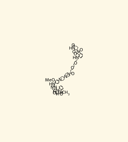 COc1cc(N2CCC(N3CCN(C(=O)CCOCCOCCNc4cccc5c4C(=O)N(C4CCC(=O)NC4=O)C5=O)CC3)CC2)ccc1Nc1ncc(Cl)c(Nc2ccccc2P(C)(C)=O)n1